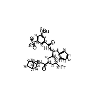 CCCCc1cc(C(=O)N[C@@H](Cc2ccccc2)[C@@H](O)C[C@@H](CCC(C)C)C(=O)NC2CC3CCC2C3)cc(S(C)(=O)=O)c1